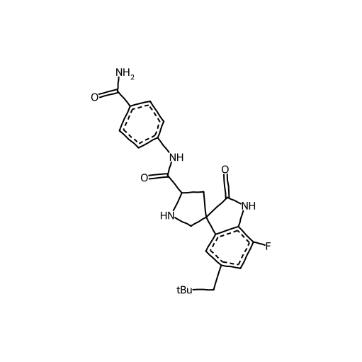 CC(C)(C)Cc1cc(F)c2c(c1)C1(CNC(C(=O)Nc3ccc(C(N)=O)cc3)C1)C(=O)N2